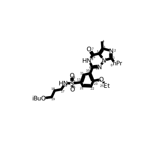 CCCc1nc(C)c2c(=O)[nH]c(-c3cc(S(=O)(=O)NCCCOCC(C)C)ccc3OCC)nn12